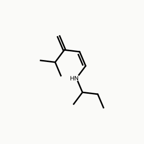 C=C(/C=C\NC(C)CC)C(C)C